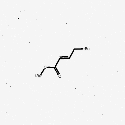 CC(C)(C)C/C=C/C(=O)OC(C)(C)C